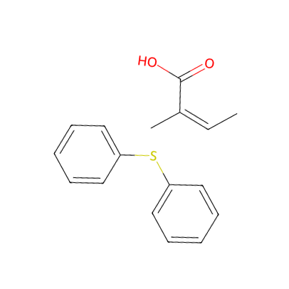 CC=C(C)C(=O)O.c1ccc(Sc2ccccc2)cc1